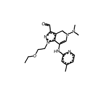 CCOCCn1nc(C=O)c2c1C(Nc1cc(C)ccn1)=CN(N(C)C)C2